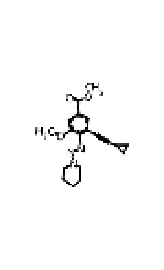 COC(=O)c1cc(C#CC2CC2)c(/N=N/N2CCCCC2)c(OC)c1